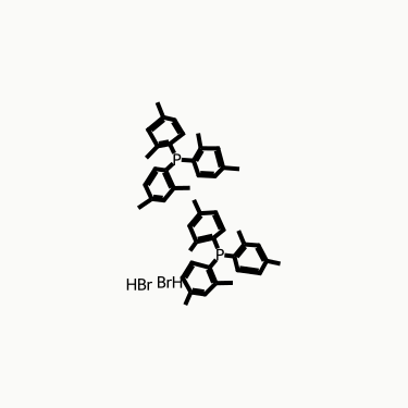 Br.Br.Cc1ccc(P(c2ccc(C)cc2C)c2ccc(C)cc2C)c(C)c1.Cc1ccc(P(c2ccc(C)cc2C)c2ccc(C)cc2C)c(C)c1